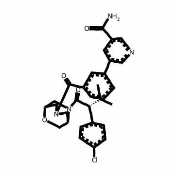 CC(C)[C@@H](C(=O)N1CC2CN(C(=O)c3cccc(-c4cncc(C(N)=O)c4)c3)CC1CO2)c1ccc(Cl)cc1